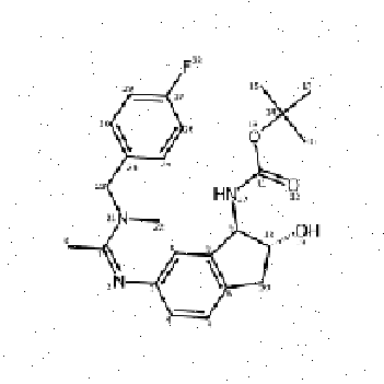 CC(=Nc1ccc2c(c1)C(NC(=O)OC(C)(C)C)[C@H](O)C2)N(C)Cc1ccc(F)cc1